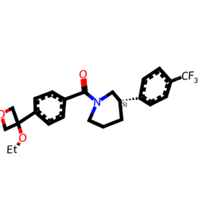 CCOC1(c2ccc(C(=O)N3CCC[C@@H](c4ccc(C(F)(F)F)cc4)C3)cc2)COC1